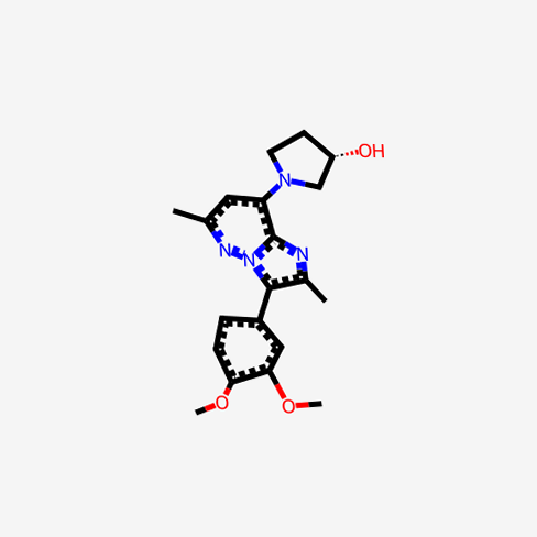 COc1ccc(-c2c(C)nc3c(N4CC[C@H](O)C4)cc(C)nn23)cc1OC